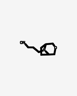 O=NCCCN1C2CCC1COC2